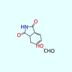 O=C1NC(=O)C2CC=CC=C12.O=CO